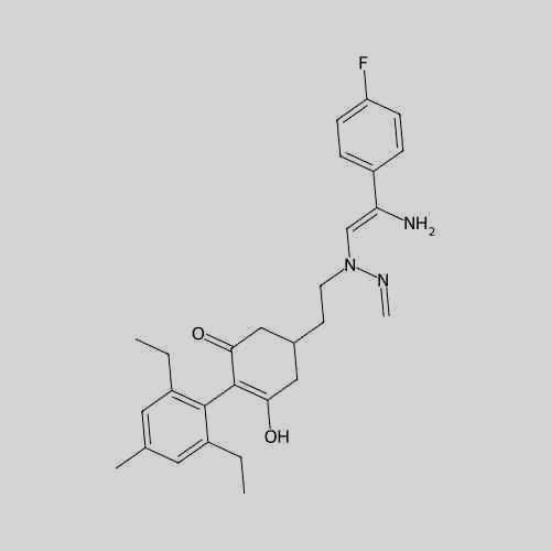 C=NN(/C=C(\N)c1ccc(F)cc1)CCC1CC(=O)C(c2c(CC)cc(C)cc2CC)=C(O)C1